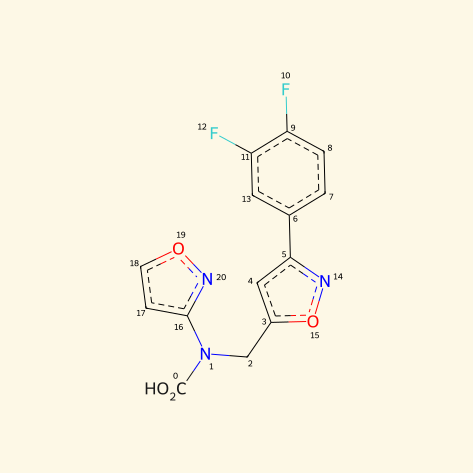 O=C(O)N(Cc1cc(-c2ccc(F)c(F)c2)no1)c1ccon1